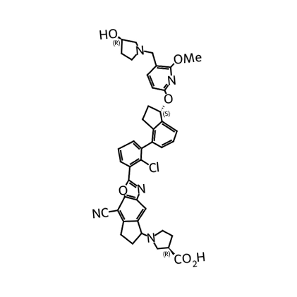 COc1nc(O[C@H]2CCc3c(-c4cccc(-c5nc6cc7c(c(C#N)c6o5)CCC7N5CC[C@@H](C(=O)O)C5)c4Cl)cccc32)ccc1CN1CC[C@@H](O)C1